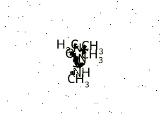 CCNc1cnc(C(=O)N(C)C(C)C)s1